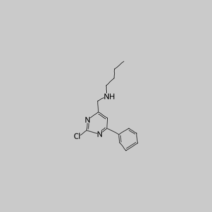 CCCCNCc1cc(-c2ccccc2)nc(Cl)n1